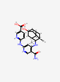 NC(=O)c1cnc(Nc2ccc(C(=O)O)cn2)cc1NC1[C@@H]2CC3C[C@H]1CC(O)(C3)C2